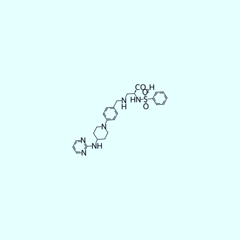 O=C(O)[C@H](CNCc1ccc(N2CCC(Nc3ncccn3)CC2)cc1)NS(=O)(=O)c1ccccc1